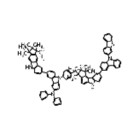 CC1(C)c2cc3[nH]c4ccc(-c5ccc6c(c5)c5cc(N(c7ccccc7)c7ccccc7)ccc5n6-c5ccc(CC6(C)c7ccc8[nH]c9ccc(-c%10ccc%11c(c%10)c%10ccccc%10n%11-c%10ccc%11c(c%10)sc%10ccccc%10%11)cc9c8c7C(C)(C)C6(C)C)cc5)cc4c3cc2C(C)(C)C1(C)C